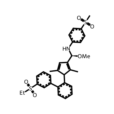 CCS(=O)(=O)c1cccc(-c2ccccc2C2C(C)=CC([C@@H](Nc3ccc(S(C)(=O)=O)cc3)OC)=C2C)c1